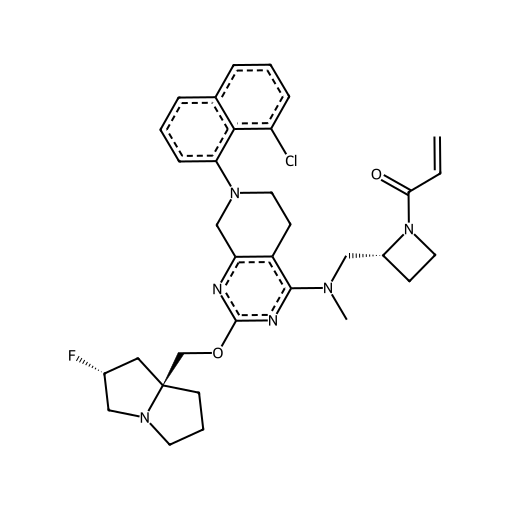 C=CC(=O)N1CC[C@@H]1CN(C)c1nc(OC[C@@]23CCCN2C[C@H](F)C3)nc2c1CCN(c1cccc3cccc(Cl)c13)C2